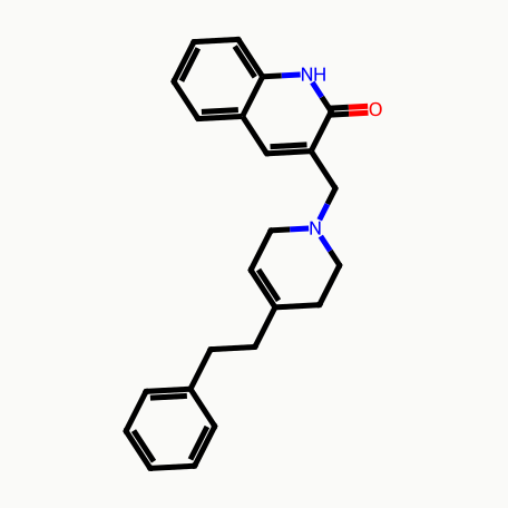 O=c1[nH]c2ccccc2cc1CN1CC=C(CCc2ccccc2)CC1